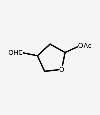 CC(=O)OC1CC(C=O)CO1